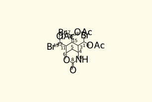 CC(=O)OC(Br)C1C2CC(OC(=O)N2)C(C(Br)OC(C)=O)C1C(Br)OC(C)=O